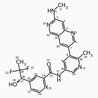 CNc1cc2ncc(-c3cc(NC(=O)c4cc([C@@H](O)C(C)(F)F)ccn4)cnc3C)cc2cn1